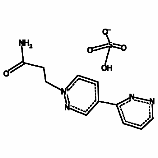 NC(=O)CC[n+]1ccc(-c2cccnn2)cn1.O=S(=O)([O-])O